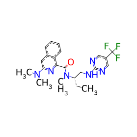 CC[C@@H](CNc1ncc(C(F)(F)F)cn1)N(C)C(=O)c1nc(N(C)C)cc2ccccc12